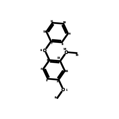 COc1ccc(Oc2c[c]ccc2)c(OC)c1